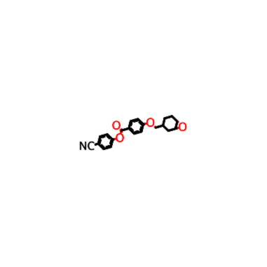 N#Cc1ccc(OC(=O)c2ccc(OCC3CCC4OC4C3)cc2)cc1